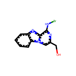 OCc1cn2c(nc3ccccc32)c(NBr)n1